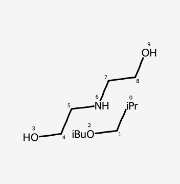 CC(C)COCC(C)C.OCCNCCO